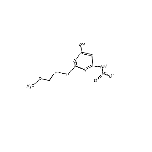 COCCOc1nc(O)cc(N[N+](=O)[O-])n1